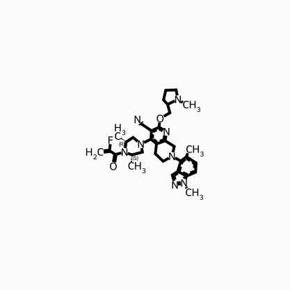 C=C(F)C(=O)N1[C@H](C)CN(c2c(C#N)c(OCC3CCCN3C)nc3c2CCN(c2c(C)ccc4c2cnn4C)C3)C[C@@H]1C